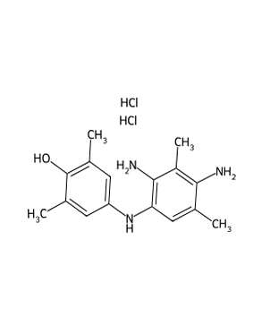 Cc1cc(Nc2cc(C)c(O)c(C)c2)c(N)c(C)c1N.Cl.Cl